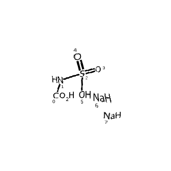 O=C(O)NS(=O)(=O)O.[NaH].[NaH]